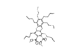 CCCCc1c(CCCC)c(CCCC)c2c(c1CCCC)Cc1c(c(CCCC)c(C(=O)OC)c(C(=O)OC)c1CCCC)C2